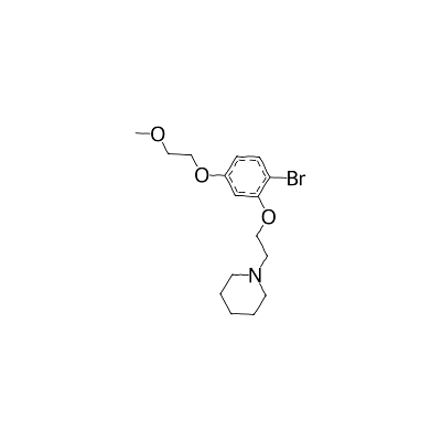 COCCOc1ccc(Br)c(OCCN2CCCCC2)c1